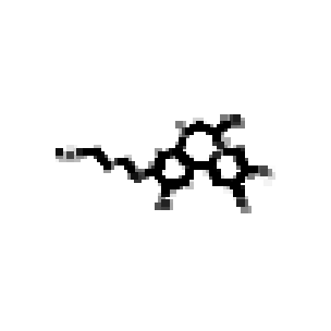 COCCCOc1cc2c(cc1C(C)=O)-c1cc(=O)c(C(C)=O)cn1C(C(C)(C)C)CO2